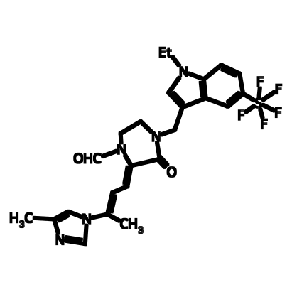 CCn1cc(CN2CCN(C=O)/C(=C\C=C(/C)n3cnc(C)c3)C2=O)c2cc(S(F)(F)(F)(F)F)ccc21